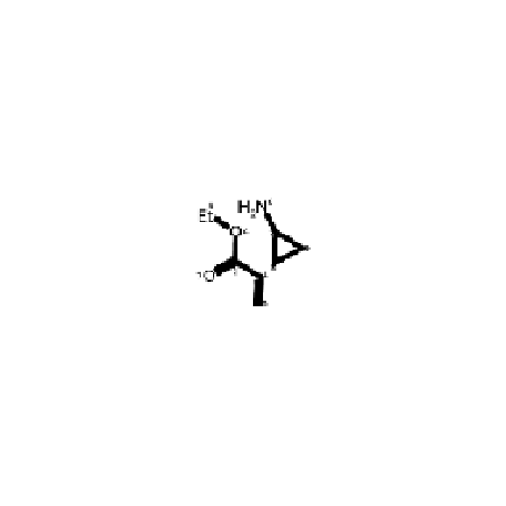 C=CC(=O)OCC.NC1CC1